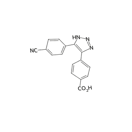 N#Cc1ccc(-c2[nH]nnc2-c2ccc(C(=O)O)cc2)cc1